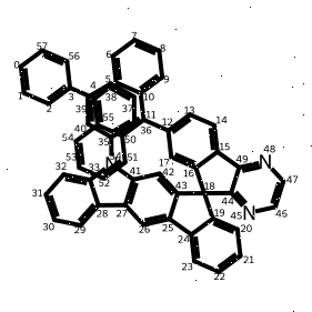 c1ccc(-c2c3ccccc3c(-c3ccc4c(c3)C3(c5ccccc5-c5cc6c7ccccc7n(-c7ccccc7)c6cc53)c3nccnc3-4)c3ccccc23)cc1